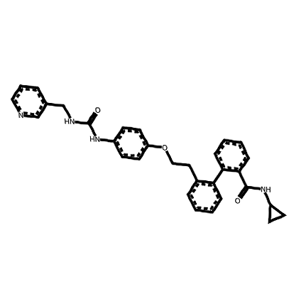 O=C(NCc1cccnc1)Nc1ccc(OCCc2ccccc2-c2ccccc2C(=O)NC2CC2)cc1